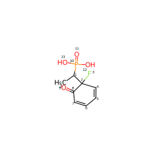 CC(C1(F)C=CC=CC1=O)P(=O)(O)O